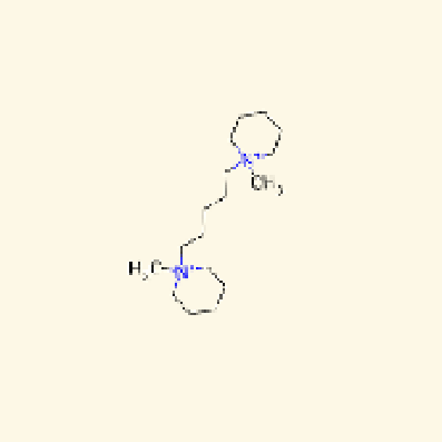 C[N+]1(CCCCC[N+]2(C)CCCCC2)CCCCC1